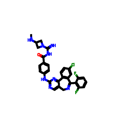 CNC1CN(C(=N)NC(=O)c2ccc(Nc3ncc4c(n3)-c3ccc(Cl)cc3C(c3c(F)cccc3F)=NC4)cc2)C1